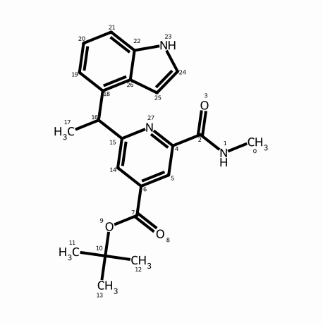 CNC(=O)c1cc(C(=O)OC(C)(C)C)cc(C(C)c2cccc3[nH]ccc23)n1